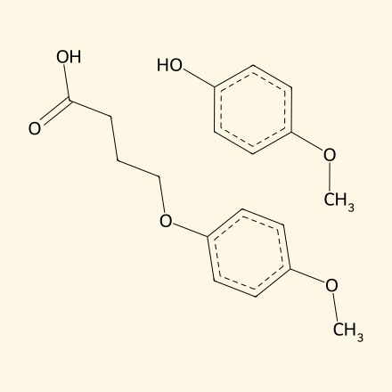 COc1ccc(O)cc1.COc1ccc(OCCCC(=O)O)cc1